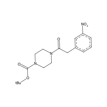 CC(C)(C)OC(=O)N1CCN(C(=O)Cc2cccc([N+](=O)[O-])c2)CC1